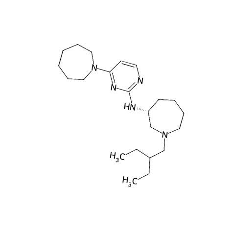 CCC(CC)CN1CCCC[C@@H](Nc2nccc(N3CCCCCC3)n2)C1